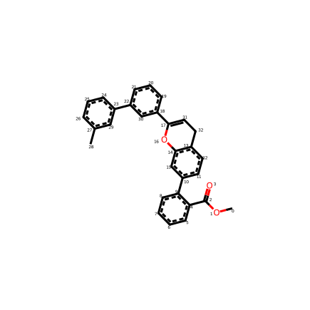 COC(=O)c1ccccc1-c1ccc2c(c1)OC(c1cccc(-c3cccc(C)c3)c1)=CC2